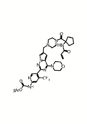 C=CC(=O)NC1(C(=O)N2CCN(Cc3cc4c(N5CCOCC5)nc(-c5cnc(NC(=O)OC)cc5C(F)(F)F)nn4c3)CC2)CCCC1